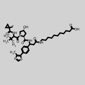 Cc1ncsc1-c1ccc(C(CC(=O)NCCCCCCCCCCC(=O)O)NC(=O)[C@@H]2C[C@@H](O)CN2C(=O)C(NC(=O)C2(F)CC2)C(C)(C)C)cc1